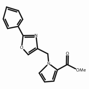 COC(=O)c1cccn1Cc1coc(-c2ccccc2)n1